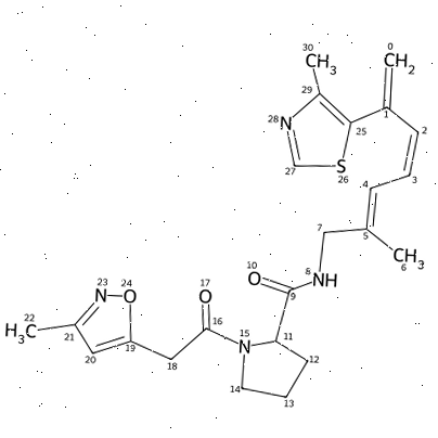 C=C(/C=C\C=C(/C)CNC(=O)C1CCCN1C(=O)Cc1cc(C)no1)c1scnc1C